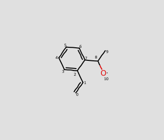 C=Cc1ccccc1C(C)[O]